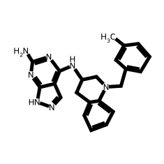 Cc1cccc(CN2CC(Nc3nc(N)nc4[nH]ncc34)Cc3ccccc32)c1